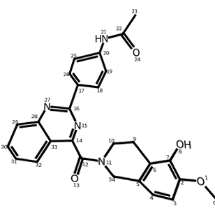 COc1ccc2c(c1O)CCN(C(=O)c1nc(-c3ccc(NC(C)=O)cc3)nc3ccccc13)C2